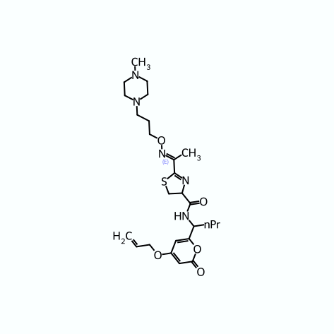 C=CCOc1cc(C(CCC)NC(=O)C2CSC(/C(C)=N/OCCCN3CCN(C)CC3)=N2)oc(=O)c1